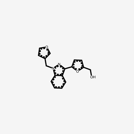 OCc1ccc(-c2nn(Cc3ccoc3)c3ccccc23)o1